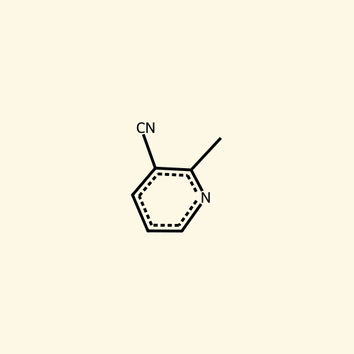 Cc1ncccc1C#N